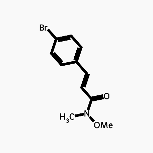 CON(C)C(=O)C=Cc1ccc(Br)cc1